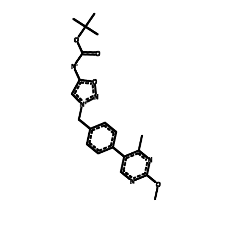 COc1ncc(-c2ccc(C[n+]3cc([N-]C(=O)OC(C)(C)C)on3)cc2)c(C)n1